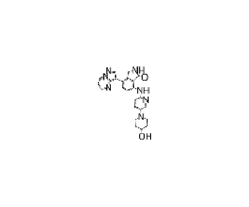 O=C1NCc2c(-c3cnn4cccnc34)ccc(Nc3ccc(N4CCC(O)CC4)cn3)c21